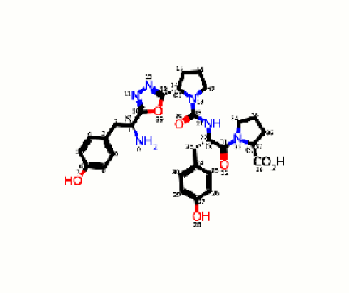 N[C@@H](Cc1ccc(O)cc1)c1nnc([C@@H]2CCCN2C(=O)N[C@@H](Cc2ccc(O)cc2)C(=O)N2CCC[C@H]2C(=O)O)o1